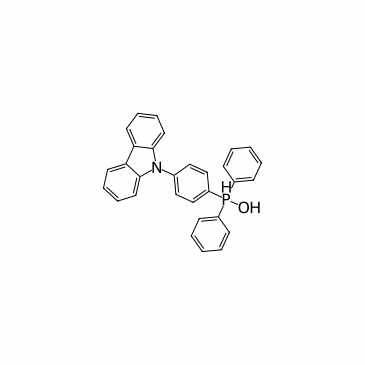 O[PH](c1ccccc1)(c1ccccc1)c1ccc(-n2c3ccccc3c3ccccc32)cc1